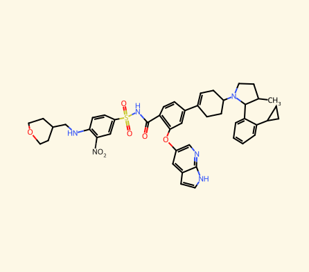 CC1CCN(C2CC=C(c3ccc(C(=O)NS(=O)(=O)c4ccc(NCC5CCOCC5)c([N+](=O)[O-])c4)c(Oc4cnc5[nH]ccc5c4)c3)CC2)C1c1ccccc1C1CC1